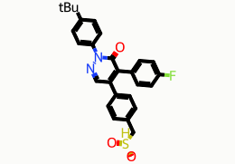 CC(C)(C)c1ccc(-n2ncc(-c3ccc(C[SH](=O)=O)cc3)c(-c3ccc(F)cc3)c2=O)cc1